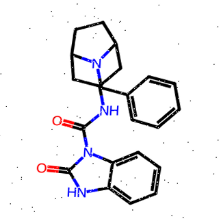 O=C(NC1CC2CCC(C1)N2Cc1ccccc1)n1c(=O)[nH]c2ccccc21